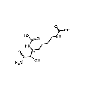 NC(=O)C(O)[C@H](CCCCNC(=O)O)NC(=O)O